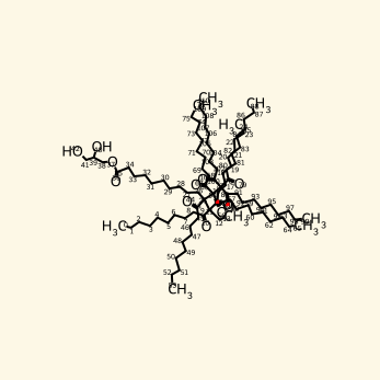 CCCCCCCCCC(=O)C(CC)(C(=O)CCCCCCCCC)C(CCCCCCCCCC(=O)OCC(O)CO)(C(=O)CCCCCCCCC)C(C(=O)CCCCCCCCC)(C(=O)CCCCCCCCC)C(C(=O)CCCCCCCCC)(C(=O)CCCCCCCCC)C(=O)CCCCCCCCC